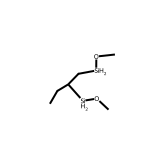 CCC(C[SiH2]OC)[SiH2]OC